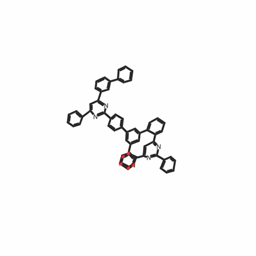 c1ccc(-c2cccc(-c3cc(-c4ccccc4)nc(-c4ccc(-c5cc(-c6cccnc6)cc(-c6ccccc6-c6cc(-c7ccccc7)nc(-c7ccccc7)n6)c5)cc4)n3)c2)cc1